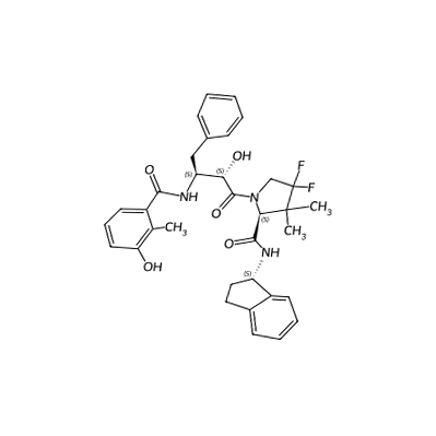 Cc1c(O)cccc1C(=O)N[C@@H](Cc1ccccc1)[C@H](O)C(=O)N1CC(F)(F)C(C)(C)[C@H]1C(=O)N[C@H]1CCc2ccccc21